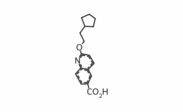 O=C(O)c1ccc2nc(OCCC3CCCC3)ccc2c1